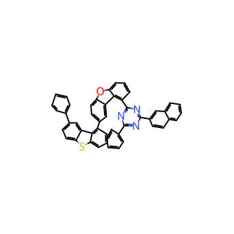 c1ccc(-c2ccc3sc4cccc(-c5ccc6oc7cccc(-c8nc(-c9ccccc9)nc(-c9ccc%10ccccc%10c9)n8)c7c6c5)c4c3c2)cc1